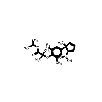 Cc1cc(C2(C)C=CC=C2B(O)O)cc(C)c1OC(C)(C)C(=O)OC(C)C